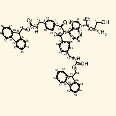 CC[C@@H](O[C@@H](C)CO)n1cnc2c(N(C(=O)c3ccc(CNC(=O)OCC4c5ccccc5-c5ccccc54)cc3)C(=O)c3ccc(CNC(O)OCC4c5ccccc5-c5ccccc54)cc3)ncnc21